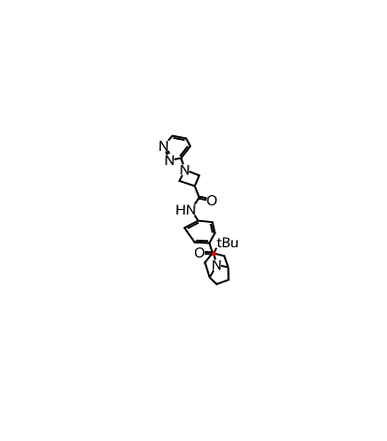 CC(C)(C)C(=O)N1C2CCC1CC(c1ccc(NC(=O)C3CN(c4cccnn4)C3)cc1)C2